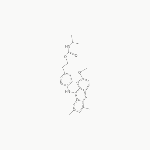 COc1ccc2nc3c(C)cc(C)cc3c(Nc3ccc(CCOC(=O)NC(C)C)cc3)c2c1